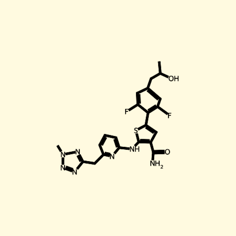 CC(O)Cc1cc(F)c(-c2cc(C(N)=O)c(Nc3cccc(Cc4nnn(C)n4)n3)s2)c(F)c1